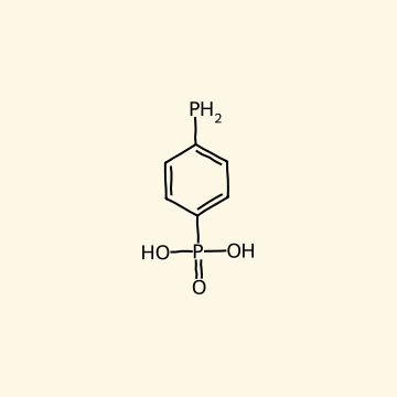 O=P(O)(O)c1ccc(P)cc1